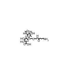 CC(=O)NC1C(O)[C@H](O)C(C)O[C@H]1OC1C(O)[C@H](O)C(C(=O)O)O[C@H]1OCCOCCNC(=O)CCCN